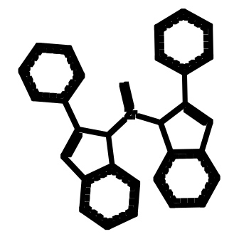 [CH2]=[Zr]([CH]1C(c2ccccc2)=Cc2ccccc21)[CH]1C(c2ccccc2)=Cc2ccccc21